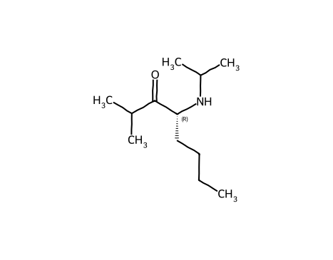 CCCC[C@@H](NC(C)C)C(=O)C(C)C